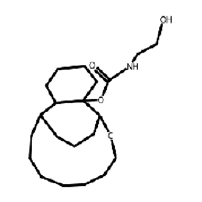 O=C(NCCO)OC12CCCCC1C1CCCCCCCCC2CCC1